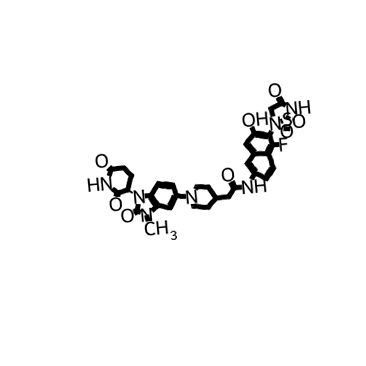 Cn1c(=O)n([C@H]2CCC(=O)NC2=O)c2ccc(N3CCC(CC(=O)Nc4ccc5c(F)c(N6CC(=O)NS6(=O)=O)c(O)cc5c4)CC3)cc21